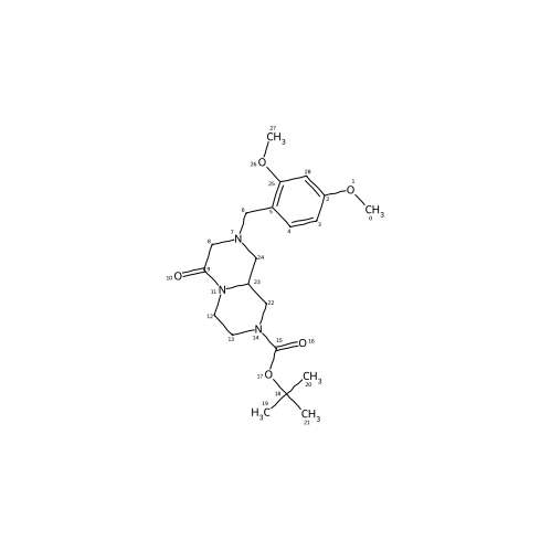 COc1ccc(CN2CC(=O)N3CCN(C(=O)OC(C)(C)C)CC3C2)c(OC)c1